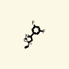 C=C[C@@H]1CC(c2cc(F)cc(F)c2)=NO1